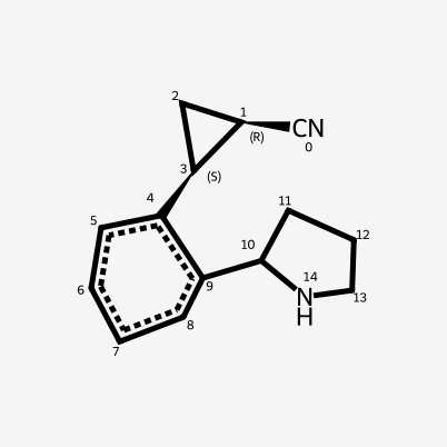 N#C[C@@H]1C[C@@H]1c1ccccc1C1CCCN1